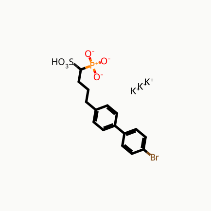 O=S(=O)(O)C(CCCc1ccc(-c2ccc(Br)cc2)cc1)[P+]([O-])([O-])[O-].[K+].[K+].[K+]